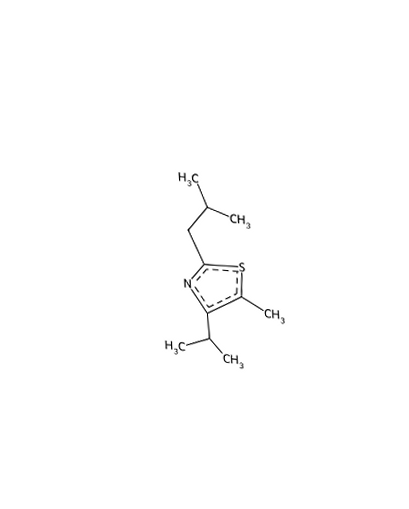 Cc1sc(CC(C)C)nc1C(C)C